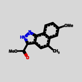 COC(=O)c1[nH]nc2c1cc(C)c1cc(OC)ccc12